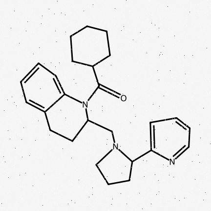 O=C(C1CCCCC1)N1c2ccccc2CCC1CN1CCCC1c1ccccn1